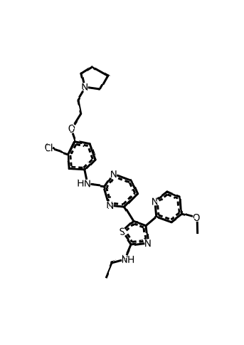 CCNc1nc(-c2cc(OC)ccn2)c(-c2ccnc(Nc3ccc(OCCN4CCCC4)c(Cl)c3)n2)s1